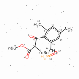 CCCCOC(=O)C(CCCC)C(=O)c1c(C)cc(C)cc1C.O=[PH3]